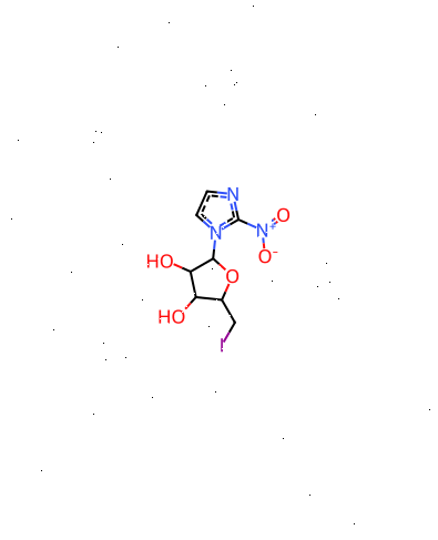 O=[N+]([O-])c1nccn1C1OC(CI)C(O)C1O